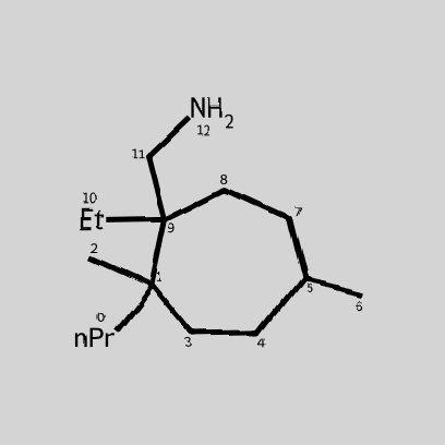 CCCC1(C)CCC(C)CCC1(CC)CN